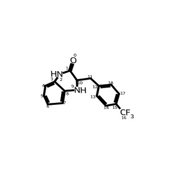 O=C1Nc2ccccc2NC1Cc1ccc(C(F)(F)F)cc1